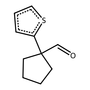 O=CC1(c2cccs2)CCCC1